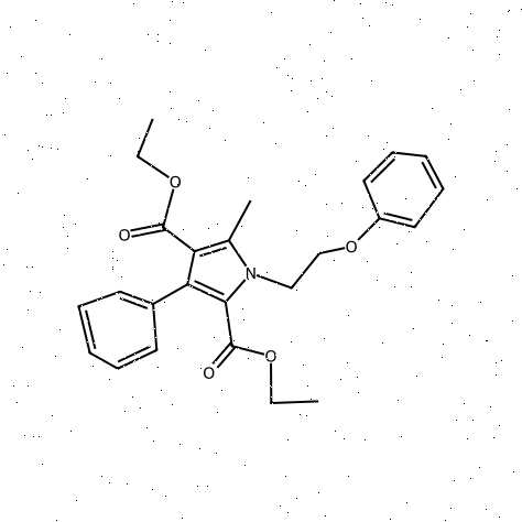 CCOC(=O)c1c(-c2ccccc2)c(C(=O)OCC)n(CCOc2ccccc2)c1C